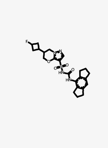 O=C(Nc1c2c(cc3c1CCC3)CCC2)NS(=O)(=O)c1cnn2c1OCC(C1CC(F)C1)C2